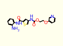 Nc1ccccc1NC(=O)c1cc(NC(=O)OCCOc2cccnc2)cs1